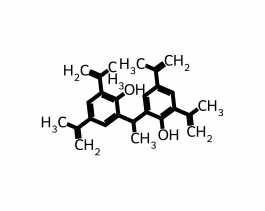 C=C(C)c1cc(C(=C)C)c(O)c(C(C)c2cc(C(=C)C)cc(C(=C)C)c2O)c1